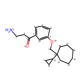 NCCC(=O)c1cccc(OCC2(C3CC3)CCCCCC2)c1